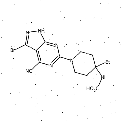 CCC1(NC(=O)O)CCN(c2nc(C#N)c3c(Br)n[nH]c3n2)CC1